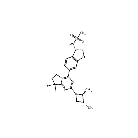 C[C@H]1[C@H](O)CN1c1nc(-c2ccc3c(c2)OC[C@H]3NS(C)(=O)=O)c2c(n1)C(F)(F)CC2